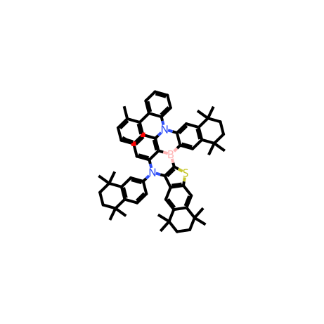 Cc1cc2c3c(c1)N(c1ccc4c(c1)C(C)(C)CCC4(C)C)c1c(sc4cc5c(cc14)C(C)(C)CCC5(C)C)B3c1cc3c(cc1N2c1ccccc1-c1ccccc1C)C(C)(C)CCC3(C)C